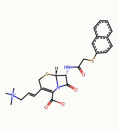 C[N+](C)(C)CC=CC1=C(C(=O)[O-])N2C(=O)[C@@H](NC(=O)CSc3ccc4ccccc4c3)[C@H]2SC1